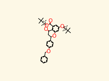 CC(C)(C)[Si](C)(C)OC(=O)c1cc(O[Si](C)(C)C(C)(C)C)cc2c1C(=O)CC(c1ccc(OCc3ccccc3)cc1)O2